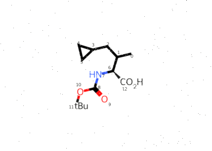 CC(CC1CC1)[C@H](NC(=O)OC(C)(C)C)C(=O)O